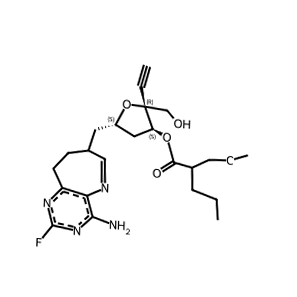 C#C[C@]1(CO)O[C@@H](CC2C=Nc3c(N)nc(F)nc3CC2)C[C@@H]1OC(=O)C(CCC)CCC